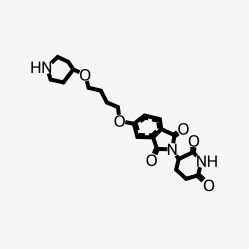 O=C1CCC(N2C(=O)c3ccc(OCCCCOC4CCNCC4)cc3C2=O)C(=O)N1